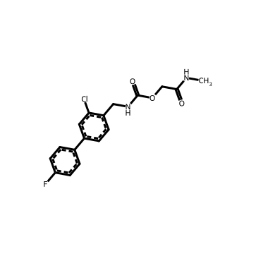 CNC(=O)COC(=O)NCc1ccc(-c2ccc(F)cc2)cc1Cl